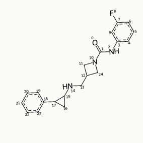 O=C(Nc1cccc(F)c1)N1CC(CNC2CC2c2ccccc2)C1